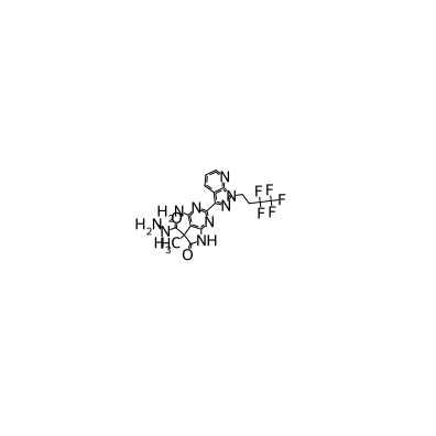 CC1(C(=O)NN)C(=O)Nc2nc(-c3nn(CCC(F)(F)C(F)(F)F)c4ncccc34)nc(N)c21